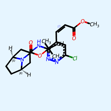 COC(=O)/C=C\c1cc(Cl)nnc1NC1C[C@H]2CC[C@@H](C1)N2C(=O)OC(C)(C)C